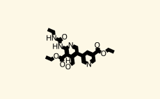 CCNC(=O)Nc1ncc(-c2cncc(C(=O)OCC)c2)c(CO)c1C(=O)OCC